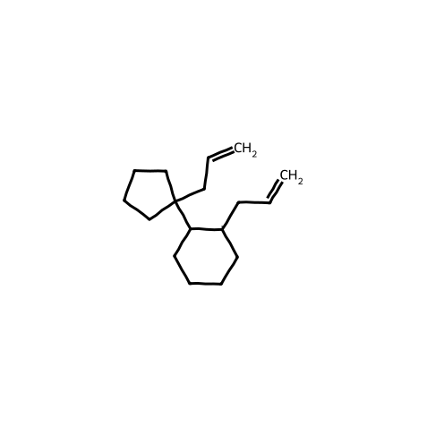 C=CC[C]1CCCCC1C1(CC=C)CCCC1